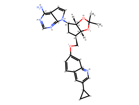 CC1(C)O[C@@H]2[C@@H](COc3ccc4cc(C5CC5)cnc4c3)C[C@@H](n3ccc4c(N)ncnc43)[C@@H]2O1